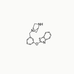 c1cc(CN2CC3CC2CN3)cc(Oc2nc3ccccc3s2)c1